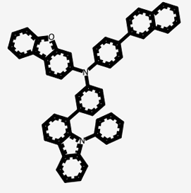 c1ccc(-n2c3ccccc3c3cccc(-c4cccc(N(c5ccc(-c6ccc7ccccc7c6)cc5)c5ccc6c(c5)oc5ccccc56)c4)c32)cc1